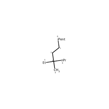 CCCC(C)CCC(C)(CC)CCC